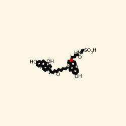 C[C@H](CCC(=O)NCCS(=O)(=O)O)[C@H]1CCC2[C@@H]3[C@@H](CCCCCC(=O)CC[C@@H](C)[C@H]4CCC5[C@@H]6[C@@H](O)CC7C[C@H](O)CC[C@]7(C)[C@H]6CC[C@@]54C)CC4C[C@H](O)CC[C@]4(C)[C@H]3CC[C@@]21C